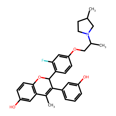 CC1=C(c2cccc(O)c2)C(c2ccc(OCC(C)N3CCC(C)C3)cc2F)Oc2ccc(O)cc21